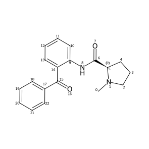 CN1CCC[C@@H]1C(=O)Nc1ccccc1C(=O)c1ccccc1